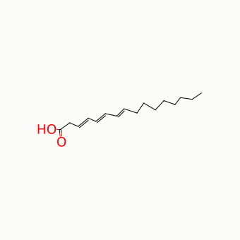 CCCCCCCCC=CC=CC=CCC(=O)O